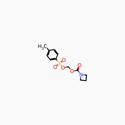 Cc1ccc(S(=O)(=O)OCOC(=O)N2CCC2)cc1